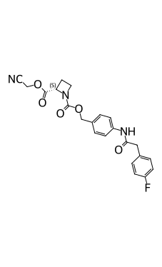 N#CCOC(=O)[C@@H]1CCN1C(=O)OCc1ccc(NC(=O)Cc2ccc(F)cc2)cc1